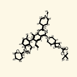 C=Cc1cc2c(N3CCC4(CC3)CN(C(=O)OC(C)(C)C)C4)nc(C3CCN(C)CC3)nc2c(C)c1-c1c(C)ccc2c1cnn2C1CCCCO1